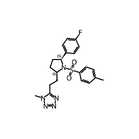 Cc1ccc(S(=O)(=O)N2[C@@H](CCc3nnnn3C)CC[C@H]2c2ccc(F)cc2)cc1